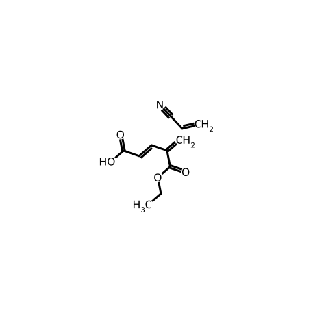 C=C(C=CC(=O)O)C(=O)OCC.C=CC#N